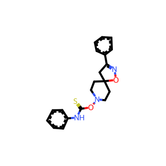 S=C(Nc1ccccc1)ON1CCC2(CC1)CC(c1ccccc1)=NO2